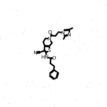 Cc1cn(CCC(=O)N2CCc3c(sc(NC(=O)CCc4ccccc4)c3C#N)C2)c(C)n1